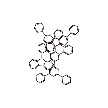 c1ccc(-c2ccc3c(c2)c2cc(-c4ccccc4)ccc2n3-c2c(-c3ccccc3-n3c4ccccc4c4ccccc43)cc(-c3cc(-c4ccccc4)nc(-c4ccccc4)n3)cc2-c2ccccc2-n2c3ccccc3c3ccccc32)cc1